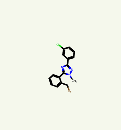 Cn1nc(-c2cccc(Cl)c2)nc1-c1ccccc1CBr